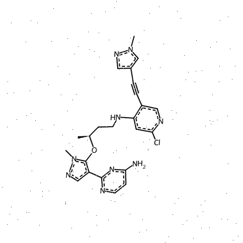 C[C@@H](CCNc1cc(Cl)ncc1C#Cc1cnn(C)c1)Oc1c(-c2nccc(N)n2)cnn1C